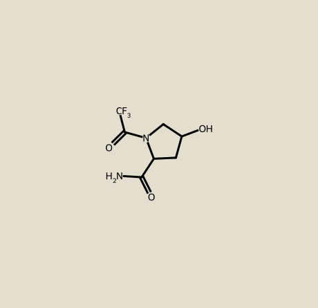 NC(=O)C1CC(O)CN1C(=O)C(F)(F)F